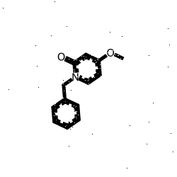 COc1ccn(Cc2ccccc2)c(=O)c1